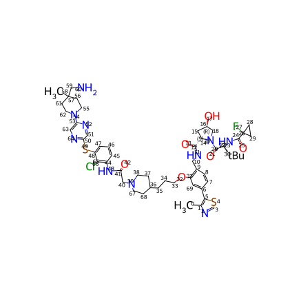 Cc1ncsc1-c1ccc(CNC(=O)[C@@H]2C[C@@H](O)CN2C(=O)[C@@H](NC(=O)C2(F)CC2)C(C)(C)C)c(OCCCC2CCN(CC(=O)Nc3cccc(Sc4cnc(N5CCC(C)(CN)CC5)cn4)c3Cl)CC2)c1